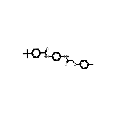 Cc1ccc(OCC(=O)Nc2ccc(NC(=O)c3ccc(C(C)(C)C)cc3)cc2)cc1